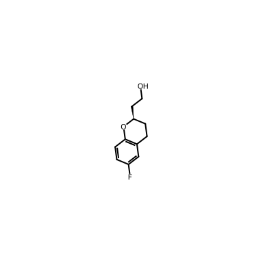 OCC[C@H]1CCc2cc(F)ccc2O1